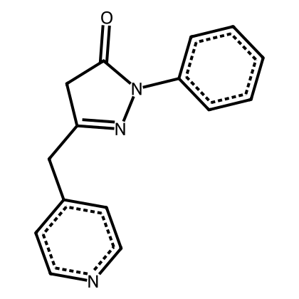 O=C1CC(Cc2ccncc2)=NN1c1ccccc1